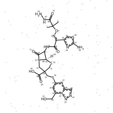 CC(C)(ON=C(C(=O)NC1C(=O)N2CC(CSc3cc(CO)n4nncc4n3)(C(=O)O)CS[C@H]12)c1csc(N)n1)C(=O)NN